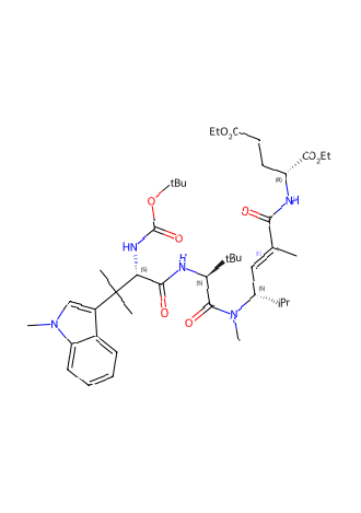 CCOC(=O)CC[C@@H](NC(=O)/C(C)=C/[C@H](C(C)C)N(C)C(=O)[C@@H](NC(=O)[C@@H](NC(=O)OC(C)(C)C)C(C)(C)c1cn(C)c2ccccc12)C(C)(C)C)C(=O)OCC